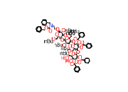 CCCCOCC1O[C@H](O[C@H]2C(COCCCC)O[C@H](OCCN(Cc3ccccc3)C(=O)OCc3ccccc3)C(OCCCC)[C@H]2OCCCC)C(OCCCC)C(OCCCC)[C@@H]1O[C@@H]1OC(COCCCC)[C@@H](O[C@@H]2OC(CO)[C@@H](O)C(OC(=O)c3ccccc3)[C@@H]2OC(=O)c2ccccc2)C(OC(=O)c2ccccc2)[C@@H]1OC(=O)c1ccccc1